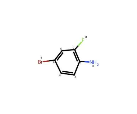 Nc1[c]cc(Br)cc1F